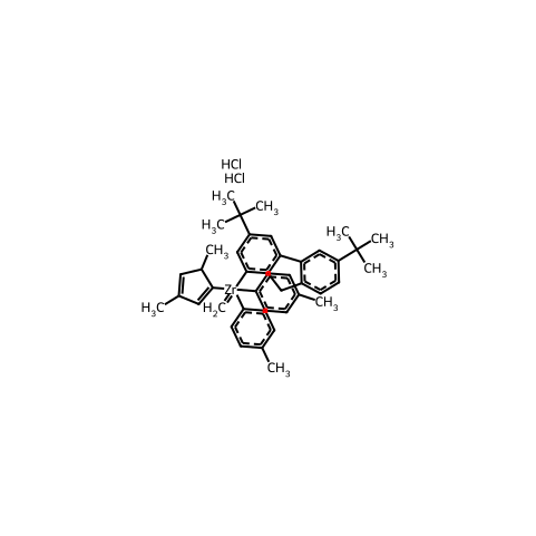 Cl.Cl.[CH2]=[Zr]([C]1=CC(C)=CC1C)([c]1ccc(C)cc1)([c]1ccc(C)cc1)[c]1cc(C(C)(C)C)cc2c1Cc1ccc(C(C)(C)C)cc1-2